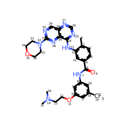 Cc1ccc(C(=O)Nc2cc(OCCN(C)C)cc(C(F)(F)F)c2)cc1Nc1ncnc2cnc(N3CCOCC3)nc12